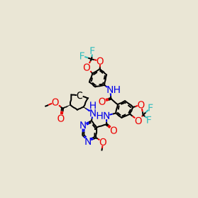 COC(=O)[C@H]1CCC[C@@H](Nc2ncnc(OC)c2C(=O)Nc2cc3c(cc2C(=O)Nc2ccc4c(c2)OC(F)(F)O4)OC(F)(F)O3)C1